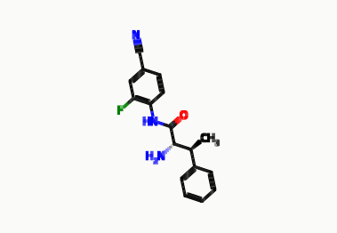 C[C@@H](c1ccccc1)[C@H](N)C(=O)Nc1ccc(C#N)cc1F